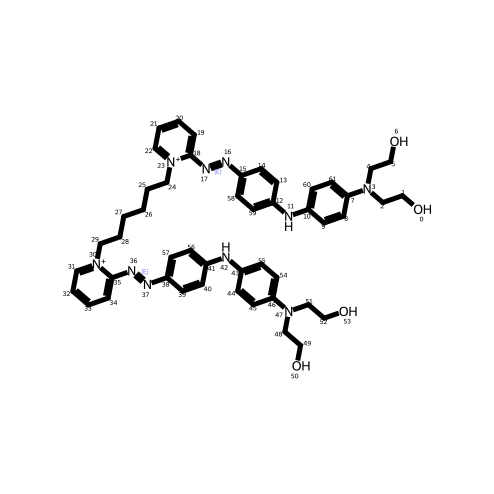 OCCN(CCO)c1ccc(Nc2ccc(/N=N/c3cccc[n+]3CCCCCC[n+]3ccccc3/N=N/c3ccc(Nc4ccc(N(CCO)CCO)cc4)cc3)cc2)cc1